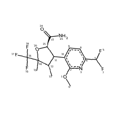 COc1nc(C(F)F)ccc1C1C(C)C(C)(C(F)(F)F)O[C@H]1C(N)=O